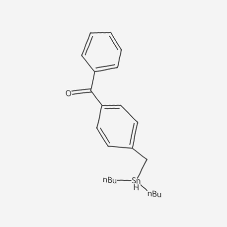 CCC[CH2][SnH]([CH2]CCC)[CH2]c1ccc(C(=O)c2ccccc2)cc1